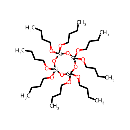 CCCCO[Si]1(OCCCC)O[Si](OCCCC)(OCCCC)O[Si](OCCCC)(OCCCC)O[Si](OCCCC)(OCCCC)O1